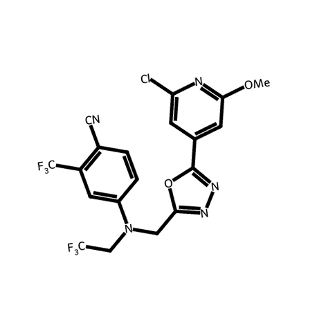 COc1cc(-c2nnc(CN(CC(F)(F)F)c3ccc(C#N)c(C(F)(F)F)c3)o2)cc(Cl)n1